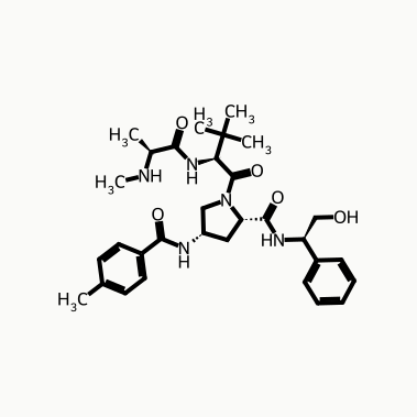 CN[C@@H](C)C(=O)N[C@H](C(=O)N1C[C@@H](NC(=O)c2ccc(C)cc2)C[C@H]1C(=O)N[C@@H](CO)c1ccccc1)C(C)(C)C